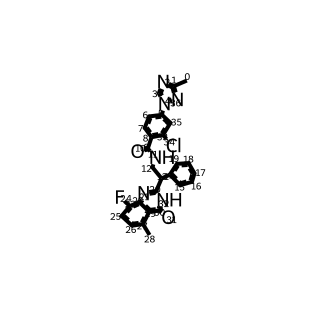 Cc1ncn(-c2ccc(C(=O)NCC(c3ccccc3)c3nc4c(F)ccc(C)c4c(=O)[nH]3)c(Cl)c2)n1